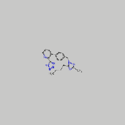 CCCCc1nc(C)nn1Cc1ccc(-c2cccnc2-c2nnn[nH]2)cc1